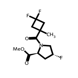 COC(=O)[C@@H]1C[C@@H](F)CN1C(=O)C1(C)CC(F)(F)C1